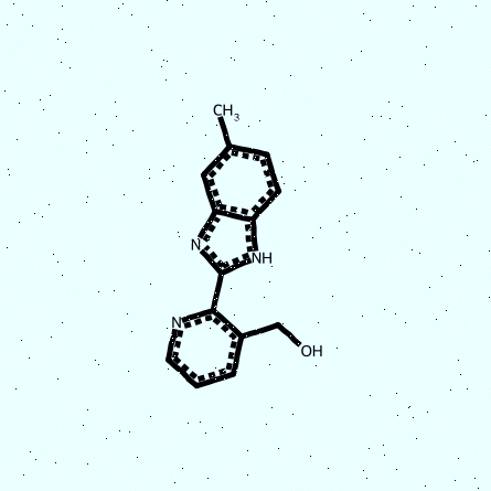 Cc1ccc2[nH]c(-c3ncccc3CO)nc2c1